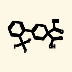 O=C(O)C1(C(=O)O)C=CC(c2ccccc2C(F)(F)F)=CC1